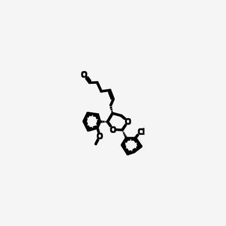 COc1ccccc1[C@H]1O[C@@H](c2ccccc2Cl)OC[C@H]1C/C=C\CCC=O